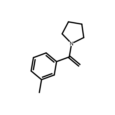 C=C(c1cccc(C)c1)N1CCCC1